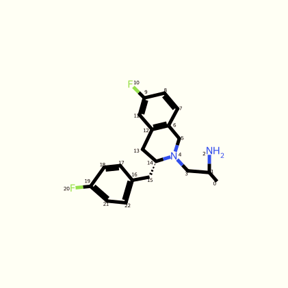 CC(N)CN1Cc2ccc(F)cc2C[C@H]1Cc1ccc(F)cc1